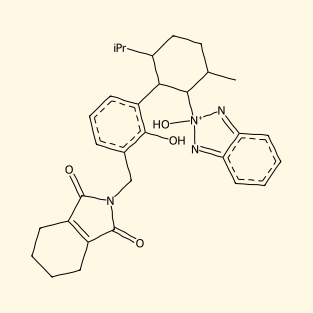 CC(C)C1CCC(C)C([N+]2(O)N=c3ccccc3=N2)C1c1cccc(CN2C(=O)C3=C(CCCC3)C2=O)c1O